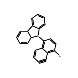 Clc1ccc(N2c3ccccc3C3C=CC=CC32)c2ccc#cc12